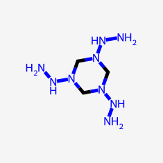 NNN1CN(NN)CN(NN)C1